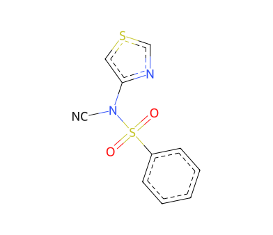 N#CN(c1cscn1)S(=O)(=O)c1ccccc1